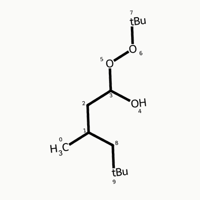 CC(CC(O)OOC(C)(C)C)CC(C)(C)C